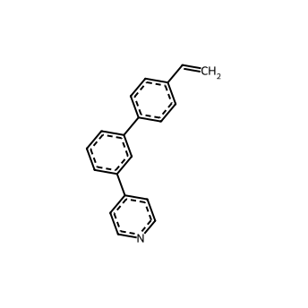 C=Cc1ccc(-c2cccc(-c3ccncc3)c2)cc1